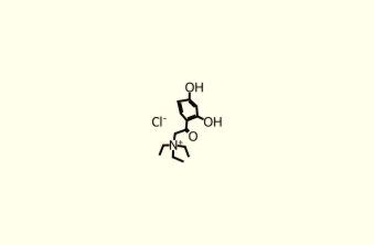 CC[N+](CC)(CC)CC(=O)c1ccc(O)cc1O.[Cl-]